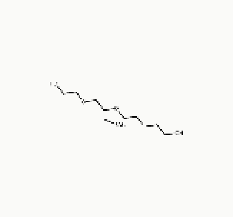 CSC.OCCOCCOCCOCCO